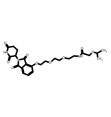 CC(C)OCC(=O)NCCOCCOCCOc1cccc2c1C(=O)N(C1CCC(=O)NC1=O)C2=O